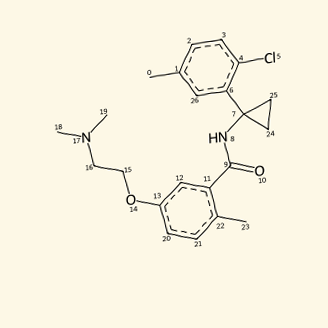 Cc1ccc(Cl)c(C2(NC(=O)c3cc(OCCN(C)C)ccc3C)CC2)c1